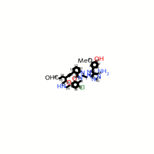 COc1cc(-c2nn(Cc3nc4cccc(C#CC(CCC=O)C5CNCCO5)c4c(=O)n3Cc3ccccc3Cl)c3ncnc(N)c23)ccc1O